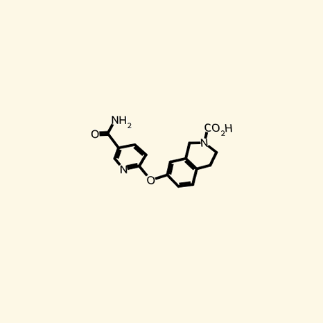 NC(=O)c1ccc(Oc2ccc3c(c2)CN(C(=O)O)CC3)nc1